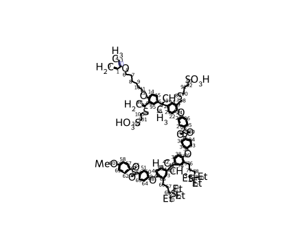 C=C/C(=C\C)OCCCCCCOc1ccc(C(C)(C)c2ccc(Oc3ccc(S(=O)(=O)c4ccc(Oc5ccc(C(C)(C)c6ccc(Oc7ccc(S(=O)(=O)c8ccc(OC)cc8)cc7)c(CCC[Si](CC)(CC)CC)c6)cc5CCC[Si](CC)(CC)CC)cc4)cc3)c(CSCCCS(=O)(=O)O)c2)cc1C(=C)SCCS(=O)(=O)O